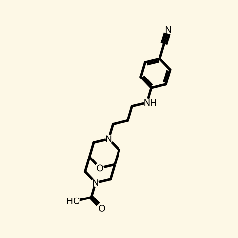 N#Cc1ccc(NCCCN2CC3CN(C(=O)O)CC(C2)O3)cc1